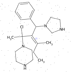 CC/C(C)=C(/C(c1ccccc1)N1CCNC1)C(C)(Cl)N1CCNCC1